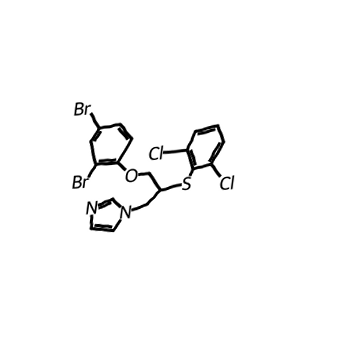 Clc1cccc(Cl)c1SC(COc1ccc(Br)cc1Br)Cn1ccnc1